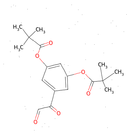 CC(C)(C)C(=O)Oc1cc(OC(=O)C(C)(C)C)cc(C(=O)C=O)c1